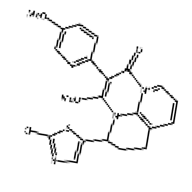 COc1ccc(-c2c(OC)n3c4c(ccc[n+]4c2=O)CCC3c2cnc(Cl)s2)cc1